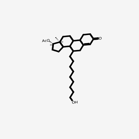 CC(=O)O[C@H]1CCC2C3C(CCCCCCCCCO)CC4=CC(=O)CCC4C3CC[C@@]21C